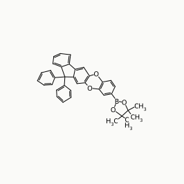 CC1(C)OB(c2ccc3c(c2)Oc2cc4c(cc2O3)-c2ccccc2C4(c2ccccc2)c2ccccc2)OC1(C)C